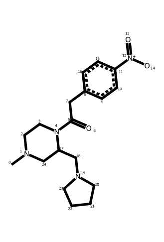 CN1CCN(C(=O)Cc2ccc([N+](=O)[O-])cc2)C(CN2CCCC2)C1